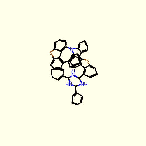 C1=CC(C2NC(c3ccccc3)NC(c3cccc4sc5ccc(-c6cccc7sc8cccc(-n9c%10ccccc%10c%10ccccc%109)c8c67)cc5c34)N2)=CCC1